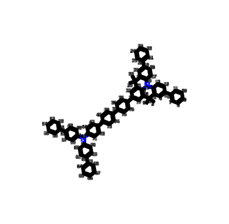 CC1(C)c2cc(-c3ccccc3)ccc2N2c3ccc(-c4ccccc4)cc3C(C)(C)c3cc(-c4ccc(-c5ccc(-c6ccc(N(c7ccc(-c8ccccc8)cc7)c7ccc(-c8ccccc8)cc7)cc6)cc5)cc4)cc1c32